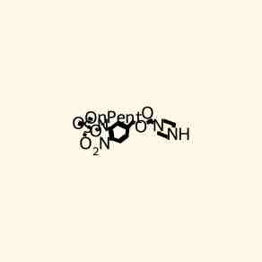 CCCCCN(OS(C)(=O)=O)c1cc(COC(=O)N2CCNCC2)ccc1[N+](=O)[O-]